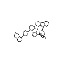 CSc1ccccc1C1(c2cccc(-c3ccc(-c4cccc5ccccc45)cc3)c2)c2ccccc2-n2c3ccccc3c3cccc1c32